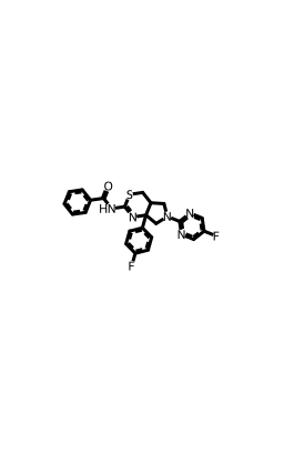 O=C(NC1=NC2(c3ccc(F)cc3)CN(c3ncc(F)cn3)CC2CS1)c1ccccc1